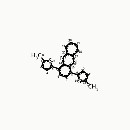 Cc1ccc(-c2ccc(-c3ccc(C)s3)c3nc4ccccc4nc23)s1